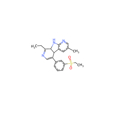 CCC1=NC=C(c2cccc(S(=O)(=O)CC)c2)C2c3cc(C)cnc3NC12